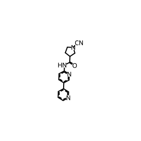 N#CN1CCC(C(=O)Nc2ccc(-c3cccnc3)cn2)C1